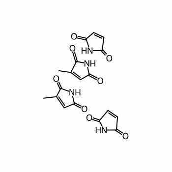 CC1=CC(=O)NC1=O.CC1=CC(=O)NC1=O.O=C1C=CC(=O)N1.O=C1C=CC(=O)N1